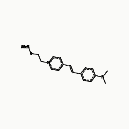 CSSCC[n+]1ccc(/C=C/c2ccc(N(C)C)cc2)cc1